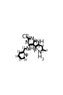 CC(N)Cc1[nH]c2nc(Cl)nc(NCc3ccccn3)c2c1F